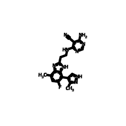 Cc1n[nH]cc1-c1c(F)cc(C)c2nc(CCNc3ncnc(N)c3C#N)[nH]c12